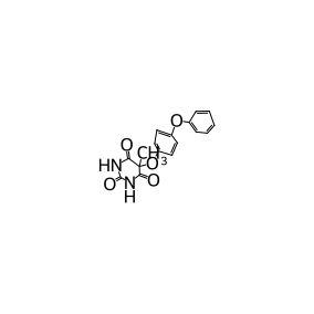 CC1(Oc2ccc(Oc3ccccc3)cc2)C(=O)NC(=O)NC1=O